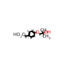 CC(C)(O)COc1ccc(CC(=O)O)cc1